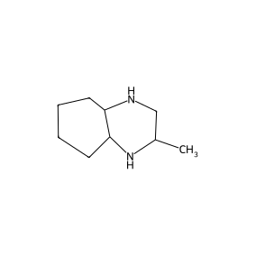 CC1CNC2CCCCC2N1